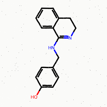 Oc1ccc(CNC2=NCCc3ccccc32)cc1